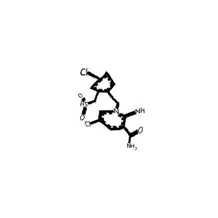 N=c1c(C(N)=O)cc(Cl)cn1Cc1ccc(Cl)cc1C[SH](=O)=O